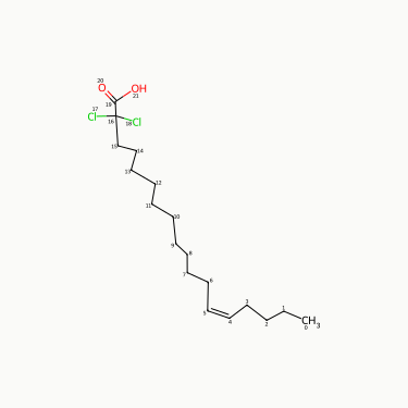 CCCC/C=C\CCCCCCCCCCC(Cl)(Cl)C(=O)O